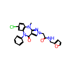 CN1c2ccc(Cl)cc2N(c2ccccc2)C(=O)c2cn(CC(=O)NCc3ccco3)nc21